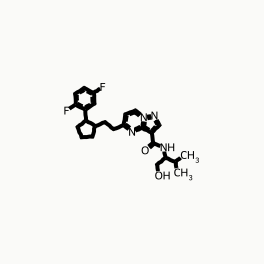 CC(C)C(CO)NC(=O)c1cnn2ccc(CCC3CCCC3c3cc(F)ccc3F)nc12